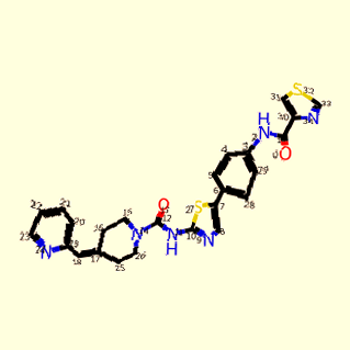 O=C(Nc1ccc(-c2cnc(NC(=O)N3CCC(=Cc4ccccn4)CC3)s2)cc1)c1cscn1